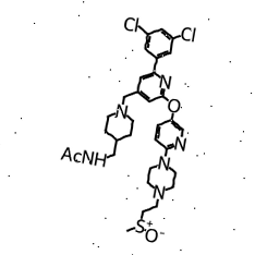 CC(=O)NCC1CCN(Cc2cc(Oc3ccc(N4CCN(CC[S+](C)[O-])CC4)nc3)nc(-c3cc(Cl)cc(Cl)c3)c2)CC1